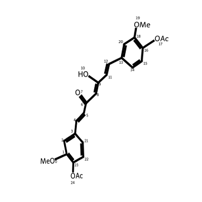 COc1cc(/C=C/C(=O)/C=C(O)/C=C/c2ccc(OC(C)=O)c(OC)c2)ccc1OC(C)=O